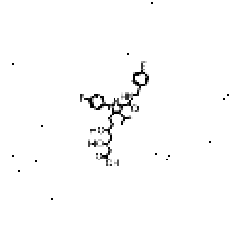 CC(C)c1c(C(=O)NCc2ccc(F)cc2)nn(-c2ccc(F)cc2)c1CCC(O)CC(O)CC(=O)O